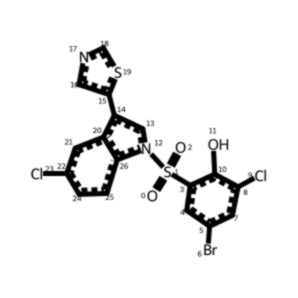 O=S(=O)(c1cc(Br)cc(Cl)c1O)n1cc(-c2cncs2)c2cc(Cl)ccc21